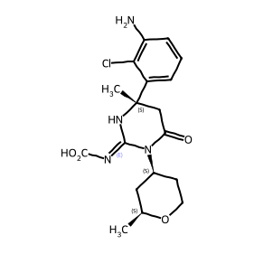 C[C@H]1C[C@@H](N2C(=O)C[C@@](C)(c3cccc(N)c3Cl)N/C2=N\C(=O)O)CCO1